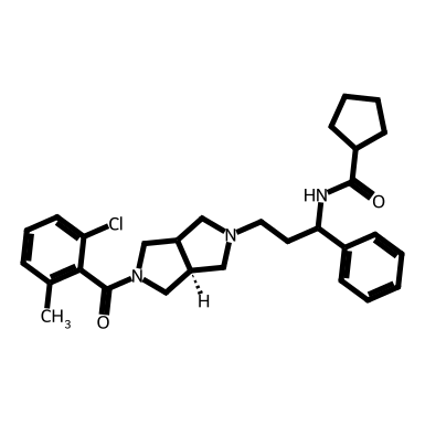 Cc1cccc(Cl)c1C(=O)N1CC2CN(CCC(NC(=O)C3CCCC3)c3ccccc3)C[C@H]2C1